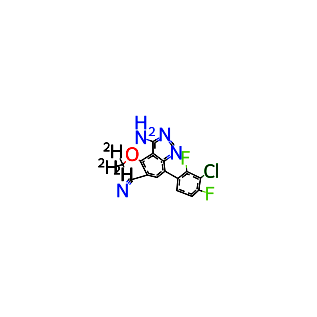 [2H]C([2H])([2H])Oc1c(C#N)cc(-c2ccc(F)c(Cl)c2F)c2ncnc(N)c12